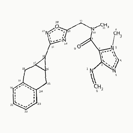 C=Nc1ncn(C)c1C(=O)N(C)Cc1nc(C2C3Cc4ccccc4CC32)no1